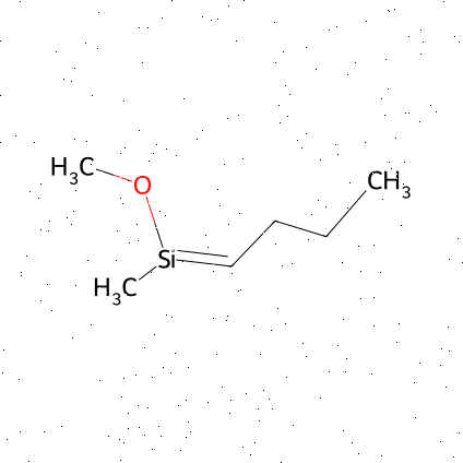 CCCC=[Si](C)OC